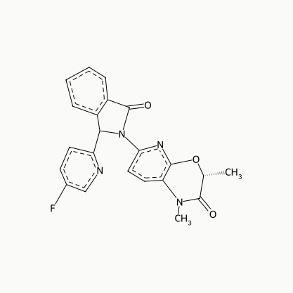 C[C@H]1Oc2nc(N3C(=O)c4ccccc4C3c3ccc(F)cn3)ccc2N(C)C1=O